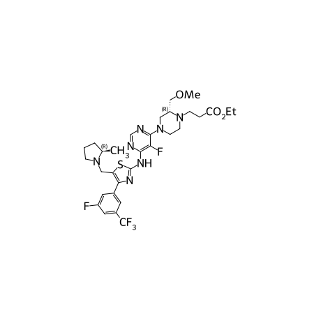 CCOC(=O)CCN1CCN(c2ncnc(Nc3nc(-c4cc(F)cc(C(F)(F)F)c4)c(CN4CCC[C@H]4C)s3)c2F)C[C@@H]1COC